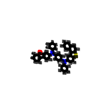 c1ccc(N(c2ccc(N(c3ccccc3)c3ccc4sc5ccc6ccccc6c5c4c3)cc2)c2ccc3c(c2)oc2ccccc23)cc1